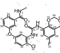 CNC(=O)c1cc(Oc2ccc(Cl)c(NC(=O)Nc3cc(F)cc4c3OCOC4)c2)ccn1